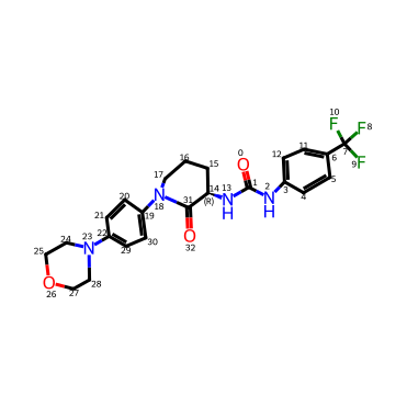 O=C(Nc1ccc(C(F)(F)F)cc1)N[C@@H]1CCCN(c2ccc(N3CCOCC3)cc2)C1=O